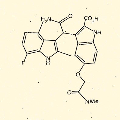 CNC(=O)COc1ccc2[nH]c(C(=O)O)c(C(C(N)=O)c3c(C)[nH]c4c(F)ccc(C)c34)c2c1